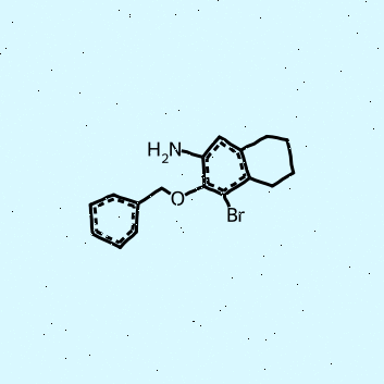 Nc1cc2c(c(Br)c1OCc1ccccc1)CCCC2